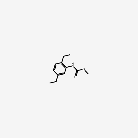 CCc1ccc(CC)c(NC(=O)OC)c1